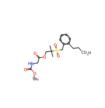 CC(C)(C)OC(=O)NCC(=O)OCC(C)(C)S(=O)(=O)Cc1ccccc1CCC(=O)O